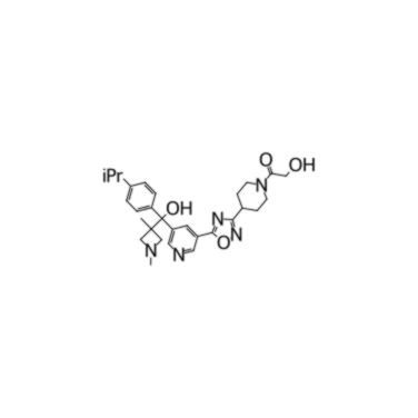 CC(C)c1ccc(C(O)(c2cncc(-c3nc(C4CCN(C(=O)CO)CC4)no3)c2)C2(C)CN(C)C2)cc1